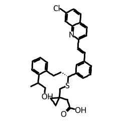 CC(CO)c1ccccc1CC[C@@H](SCC1(CC(=O)O)CC1)c1cccc(/C=C/c2ccc3ccc(Cl)cc3n2)c1